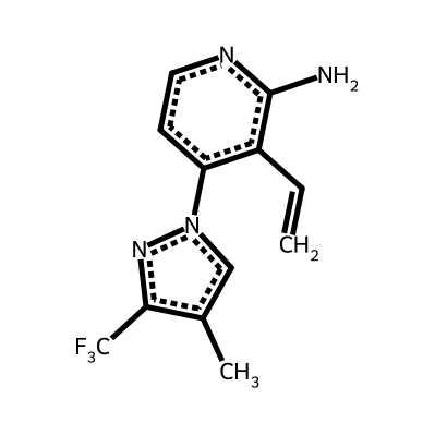 C=Cc1c(-n2cc(C)c(C(F)(F)F)n2)ccnc1N